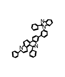 c1ccc(-c2ccc3c(ccc4c5ccc(-c6cccc(-n7c(-c8ccccc8)nc8ccccc87)c6)cc5nc(-c5ccccc5)c34)n2)cc1